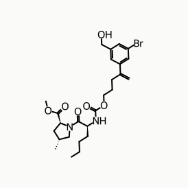 C=C(CCCOC(=O)N[C@@H](CCCC)C(=O)N1C[C@H](C)C[C@H]1C(=O)OC)c1cc(Br)cc(CO)c1